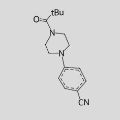 CC(C)(C)C(=O)N1CCN(c2ccc(C#N)cc2)CC1